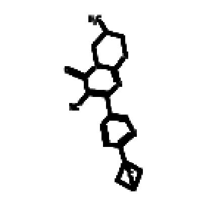 CC1CSc2nc(-c3ccc(C45CC(C4)C5)nc3)c(C#N)c(=O)n2C1